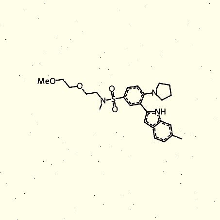 COCCOCCN(C)S(=O)(=O)c1ccc(N2CCCC2)c(-c2cc3ccc(C)cc3[nH]2)c1